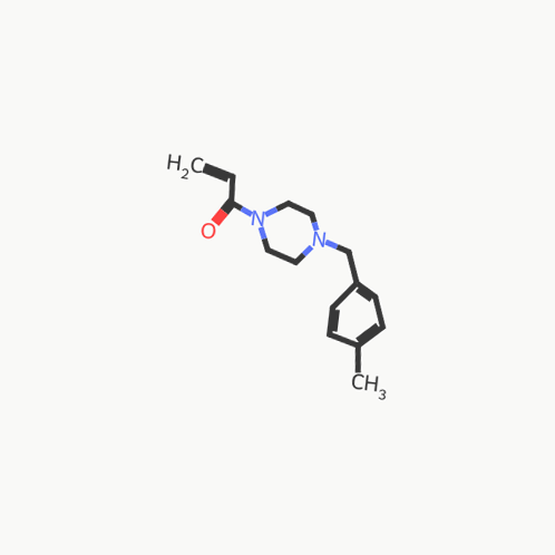 C=CC(=O)N1CCN(Cc2ccc(C)cc2)CC1